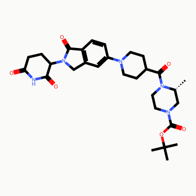 C[C@@H]1CN(C(=O)OC(C)(C)C)CCN1C(=O)C1CCN(c2ccc3c(c2)CN(C2CCC(=O)NC2=O)C3=O)CC1